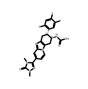 Cn1nc(-c2ccn3c4c(nc3c2)C[C@H](c2cc(F)c(F)cc2F)[C@@H](NC(=O)O)C4)n(C)c1=O